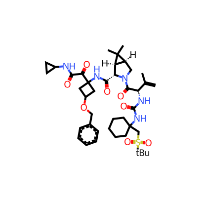 C=C(C)[C@H](NC(=O)NC1(CS(=O)(=O)C(C)(C)C)CCCCC1)C(=O)N1C[C@H]2[C@@H]([C@H]1C(=O)NC1(C(=O)C(=O)NC3CC3)CC(OCc3ccccc3)C1)C2(C)C